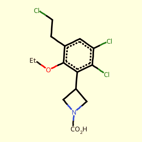 CCOc1c(CCCl)cc(Cl)c(Cl)c1C1CN(C(=O)O)C1